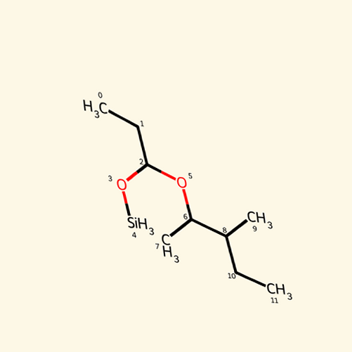 CCC(O[SiH3])OC(C)C(C)CC